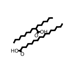 CCCCCCCCC(CCCCCC)C(=O)O.CCCCCCCCCCCCCCCC(=O)O